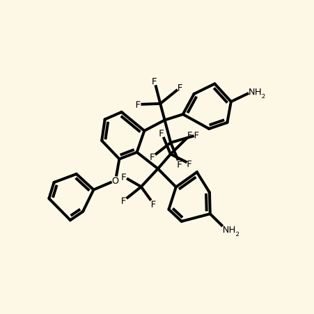 Nc1ccc(C(c2cccc(Oc3ccccc3)c2C(c2ccc(N)cc2)(C(F)(F)F)C(F)(F)F)(C(F)(F)F)C(F)(F)F)cc1